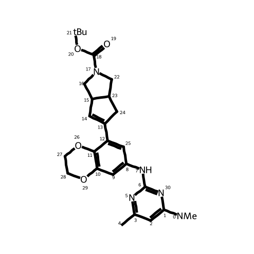 CNc1cc(C)nc(Nc2cc3c(c(C4=CC5CN(C(=O)OC(C)(C)C)CC5C4)c2)OCCO3)n1